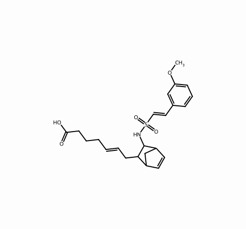 COc1cccc(C=CS(=O)(=O)NC2C3C=CC(C3)C2CC=CCCCC(=O)O)c1